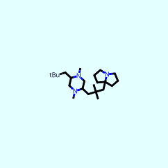 CN1CC(CC(C)(C)CC23CCCN2CCC3)N(C)CC1CC(C)(C)C